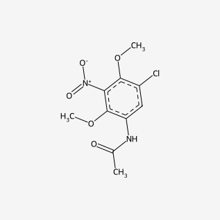 COc1c(Cl)cc(NC(C)=O)c(OC)c1[N+](=O)[O-]